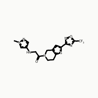 Cn1cc(NCC(=O)N2CCc3sc(-c4noc(C(F)(F)F)n4)cc3C2)cn1